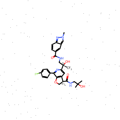 Cn1cc2cc(C(=O)NC[C@](O)(c3cc4c(c(-c5ccc(F)cc5)n3)OC[C@]4(C)C(=O)NCC(C)(C)O)C(F)(F)F)ccc2n1